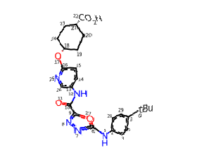 CC(C)(C)c1ccc(Nc2nnc(C(=O)Nc3ccc(O[C@H]4CC[C@@H](C(=O)O)CC4)nc3)o2)cc1